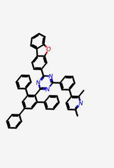 Cc1ccc(-c2cccc(-c3nc(-c4ccc5c(c4)oc4ccccc45)nc(-c4c(-c5ccccc5)cc(-c5ccccc5)cc4-c4ccccc4)n3)c2)c(C)n1